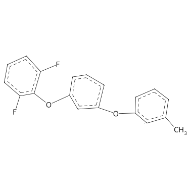 Cc1[c]c(Oc2cccc(Oc3c(F)cccc3F)c2)ccc1